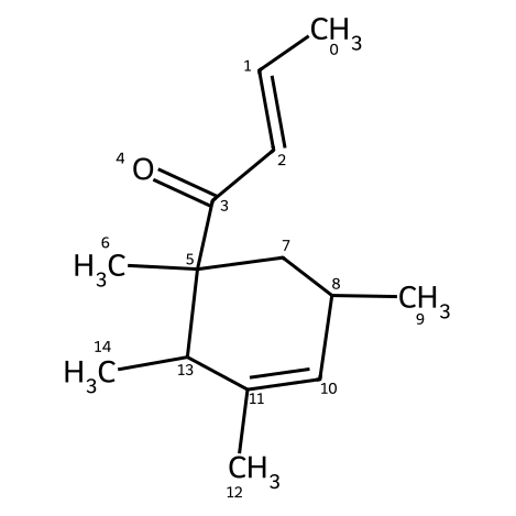 C/C=C/C(=O)C1(C)CC(C)C=C(C)C1C